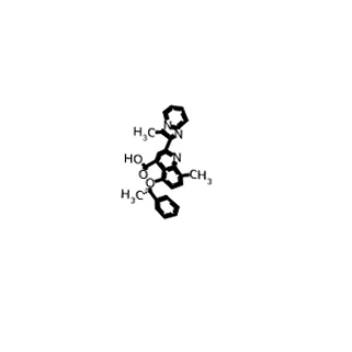 Cc1ccc(O[C@@H](C)c2ccccc2)c2c(C(=O)O)cc(-c3nc4ccccn4c3C)nc12